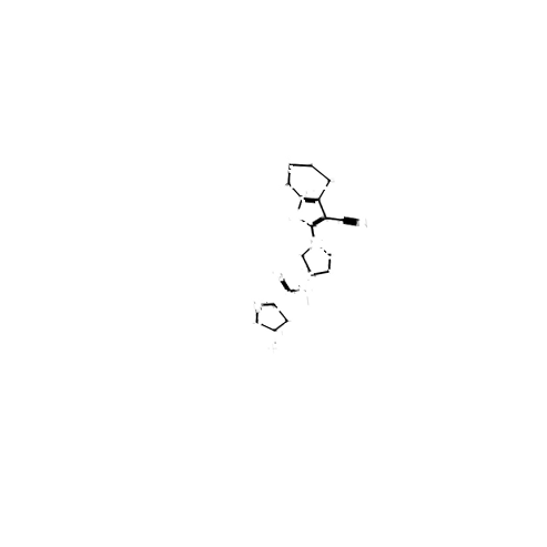 N#Cc1c(N2CC[C@H](NC(=O)[C@@H]3C[C@H](F)CN3)C2)sc2c1CCCC2